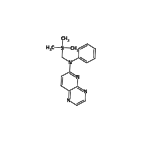 C[Si](C)(C)CN(c1ccccc1)c1ccc2nccnc2n1